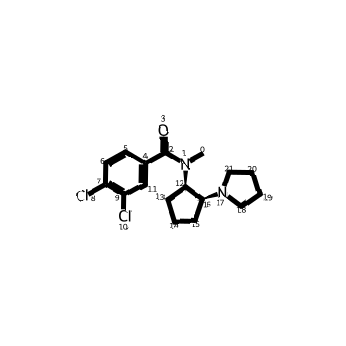 CN(C(=O)c1ccc(Cl)c(Cl)c1)[C@@H]1CCC[C@@H]1N1CCCC1